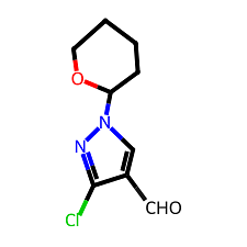 O=Cc1cn(C2CCCCO2)nc1Cl